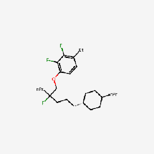 CCCC(F)(CCC[C@H]1CC[C@H](CCC)CC1)COc1ccc(CC)c(F)c1F